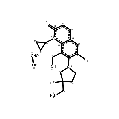 NCC1(F)CCN(c2c(F)cc3ccc(=O)n(C4CC4)c3c2CO)C1.O=CO